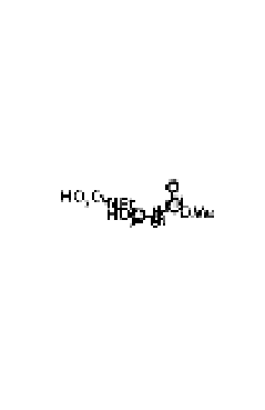 CCc1cc(-c2nc(-c3cc(OC)nc(C4CCCC4)c3)no2)cc(C)c1OCCNCCC(=O)O